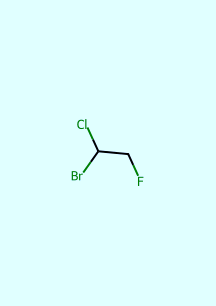 FCC(Cl)Br